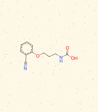 N#Cc1ccccc1OCCCNC(=O)O